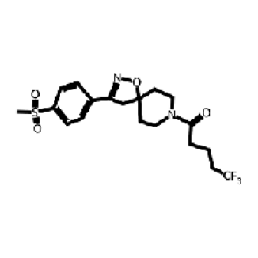 CS(=O)(=O)c1ccc(C2=NOC3(CCN(C(=O)CCCC(F)(F)F)CC3)C2)cc1